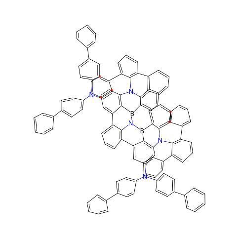 c1ccc(-c2ccc(N(c3ccc(-c4ccccc4)cc3)c3cc4c5c(c3)N(c3c(-c6ccccc6)cccc3-c3ccccc3)c3ccccc3B5N3B5c6ccccc6N(c6c(-c7ccccc7)cccc6-c6ccccc6)c6cc(N(c7ccc(-c8ccccc8)cc7)c7ccc(-c8ccccc8)cc7)cc(c65)-c5cccc-4c53)cc2)cc1